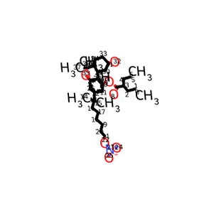 CCCC(CCC)C(=O)Oc1cc(C(C)(C)CCCCCCO[N+](=O)[O-])cc2c1[C@@H]1CC(=O)CC[C@H]1C(C)(C)O2